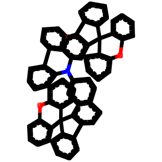 c1ccc(-c2ccccc2N(c2ccc3c(c2)C2(c4ccccc4Oc4ccccc42)c2ccccc2-3)c2ccc3ccc4c(c3c2)C2(c3ccccc3Oc3ccccc32)c2ccccc2-4)cc1